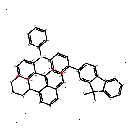 CC1(C)c2ccccc2-c2ccc(-c3ccc(N(c4ccccc4)c4ccccc4-c4cccc5cccc(C6CCCCC6)c45)cc3)cc21